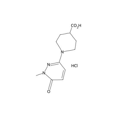 Cl.Cn1nc(N2CCC(C(=O)O)CC2)ccc1=O